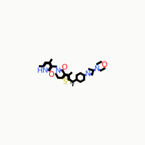 Cc1cc(C)c(CN2CCc3sc([C@H](C)C4CCC(N5CC(N6CCOCC6)C5)CC4)c(C)c3C2=O)c(=O)[nH]1